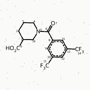 O=C(O)C1CCCN(C(=O)c2cc(C(F)(F)F)cc(C(F)(F)F)c2)C1